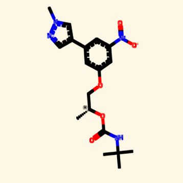 C[C@H](COc1cc(-c2cnn(C)c2)cc([N+](=O)[O-])c1)OC(=O)NC(C)(C)C